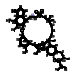 C[C@H](Cc1cccc([C@@]2(C)CCCC(C)(C)CS(=O)(=O)/C=C/c3c(c(F)c(F)c4[nH]ccc34)Oc3ccc(F)c(c3)-c3nc2nn3C)c1)C(=O)N(C)C